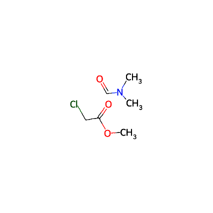 CN(C)C=O.COC(=O)CCl